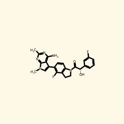 Cc1nc(N)c2c(-c3ccc4c(c3F)CCN4C(=O)[C@@H](O)c3cccc(F)c3)cn(C)c2n1